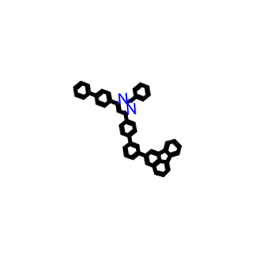 c1ccc(-c2ccc(-c3cc(-c4ccc(-c5cccc(-c6cc7c8c(cccc8c6)-c6ccccc6-7)c5)cc4)nc(-c4ccccc4)n3)cc2)cc1